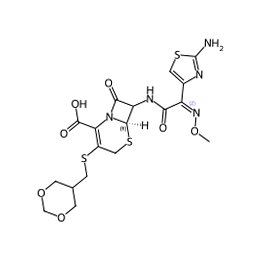 CO/N=C(\C(=O)NC1C(=O)N2C(C(=O)O)=C(SCC3COCOC3)CS[C@H]12)c1csc(N)n1